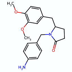 COc1ccc(CC2CCC(=O)N2Cc2ccc(N)cc2)cc1OC